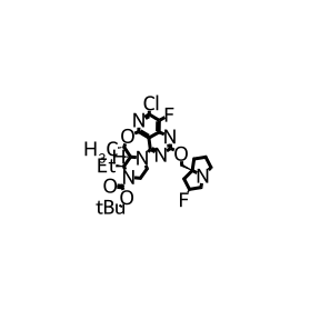 CC[C@H]1[C@H]2[C@H](C)Oc3nc(Cl)c(F)c4nc(OC[C@@]56CCCN5C[C@H](F)C6)nc(c34)N2CCN1C(=O)OC(C)(C)C